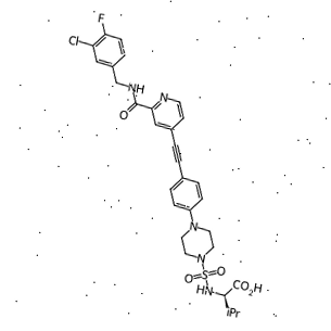 CC(C)[C@@H](NS(=O)(=O)N1CCN(c2ccc(C#Cc3ccnc(C(=O)NCc4ccc(F)c(Cl)c4)c3)cc2)CC1)C(=O)O